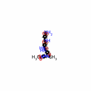 COC(=O)N1CCN(/C(=N/C(C)=O)c2cccc(NC(=O)Nc3ccc(S(=O)(=O)NCc4ccc(S(N)(=O)=O)cc4)cc3)c2)CC1